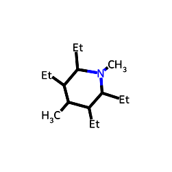 CCC1C(C)C(CC)C(CC)N(C)C1CC